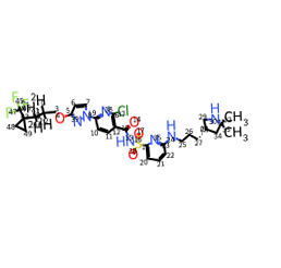 [2H]C([2H])(COc1ccn(-c2ccc(C(=O)NS(=O)(=O)c3cccc(NCCC[C@@H]4CNC(C)(C)C4)n3)c(Cl)n2)n1)C([2H])([2H])C1(C(F)(F)F)CC1